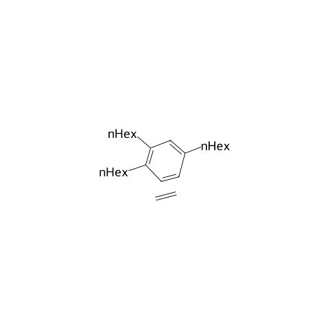 C=C.CCCCCCc1ccc(CCCCCC)c(CCCCCC)c1